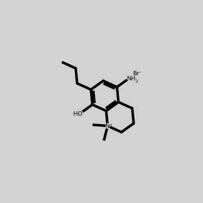 CCCc1cc(N)c2c(c1O)[N+](C)(C)CCC2.[Br-]